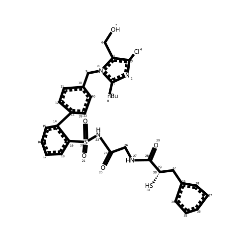 CCCCc1nc(Cl)c(CO)n1Cc1ccc(-c2ccccc2S(=O)(=O)NC(=O)CNC(=O)[C@@H](S)Cc2ccccc2)cc1